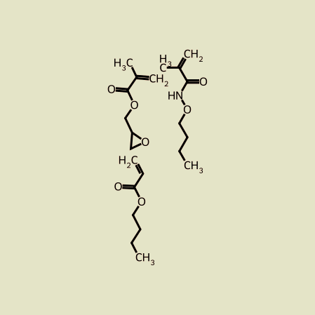 C=C(C)C(=O)NOCCCC.C=C(C)C(=O)OCC1CO1.C=CC(=O)OCCCC